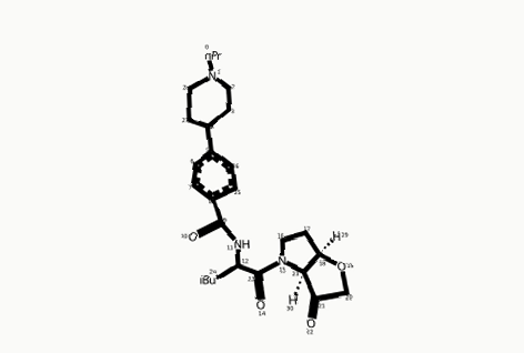 CCCN1CCC(c2ccc(C(=O)NC(C(=O)N3CC[C@H]4OCC(=O)[C@H]43)C(C)CC)cc2)CC1